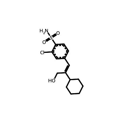 NS(=O)(=O)c1ccc(C=C(CO)C2CCCCC2)cc1Cl